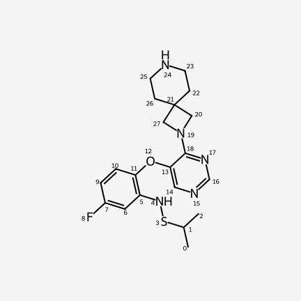 CC(C)SNc1cc(F)ccc1Oc1cncnc1N1CC2(CCNCC2)C1